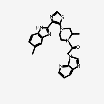 Cc1ccc2[nH]c(-c3ncsc3N3CCN(C(=O)Cn4cnc5cccnc54)C(C)C3)nc2c1